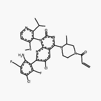 C=CC(=O)N1CCN(c2nc(=O)n(-c3c(SC)ccnc3C(C)C)c3nc(-c4c(N)c(F)cc(Cl)c4F)c(Cl)cc23)C(C)C1